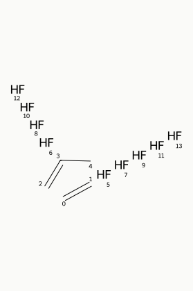 C=C.C=CC.F.F.F.F.F.F.F.F.F